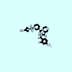 C[C@@H](NC(=O)[C@H]1COCCN1C(O)[C@H]1CCCN(S(=O)(=O)N2CC(C#N)C2)C1)c1ccc(C(F)(F)F)cc1F